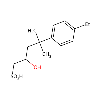 CCc1ccc(C(C)(C)CC(O)CS(=O)(=O)O)cc1